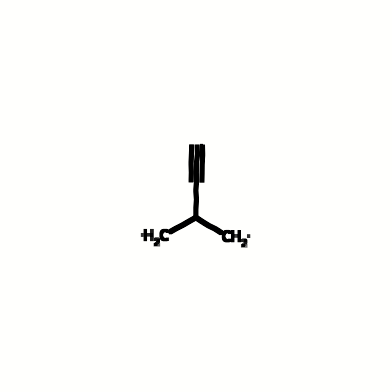 [C]#CC([CH2])[CH2]